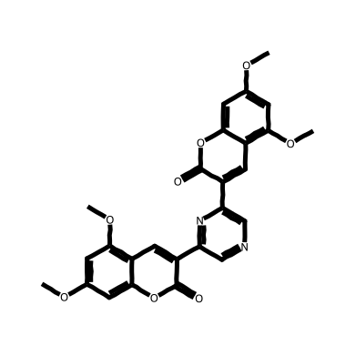 COc1cc(OC)c2cc(-c3cncc(-c4cc5c(OC)cc(OC)cc5oc4=O)n3)c(=O)oc2c1